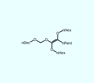 CCCCCCCCCCOCOC(OCCCCCC)=C(CCCCC)OCCCCCC